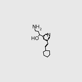 NCCC(O)c1cncc(C=CC2CCCCC2)c1